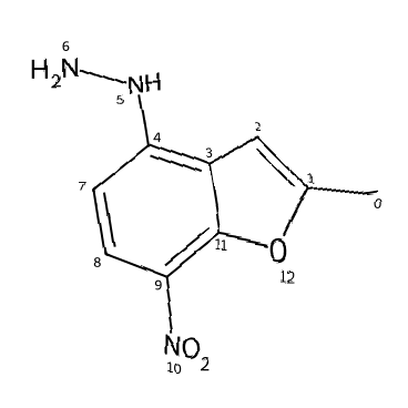 Cc1cc2c(NN)ccc([N+](=O)[O-])c2o1